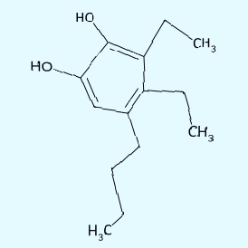 CCCCc1cc(O)c(O)c(CC)c1CC